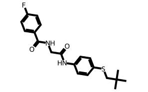 CC(C)(C)CSc1ccc(NC(=O)CNC(=O)c2ccc(F)cc2)cc1